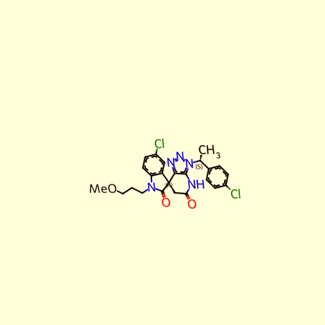 COCCCN1C(=O)[C@]2(CC(=O)Nc3c2nnn3[C@@H](C)c2ccc(Cl)cc2)c2cc(Cl)ccc21